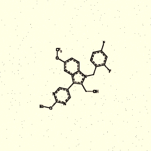 CCOc1ncc(-c2c(CO)n(Cc3ccc(F)cc3F)c3ccc(OC(F)(F)F)cc23)cn1